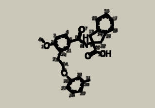 COc1ccc(C(=O)NC2(C(=O)O)Cc3ccccc3C2)cc1CCOc1cccc(C)c1